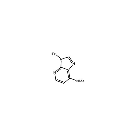 CNc1ccnc2c1ncn2C(C)C